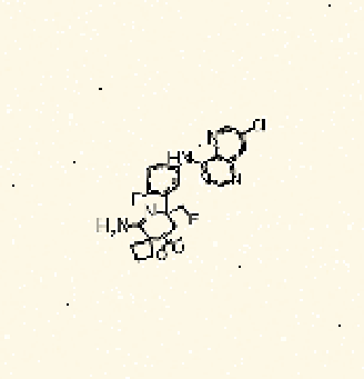 NC1=N[C@](CF)(c2cc(Nc3ncnc4cc(Cl)cnc34)ccc2F)CS(=O)(=O)C12CCC2